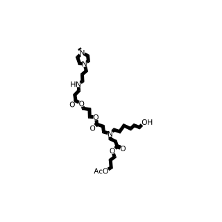 CC(=O)OCCCOC(=O)CCN(CCCCCCO)CCC(=O)OCCCOC(=O)CCNCCCN1CCN(C)CC1